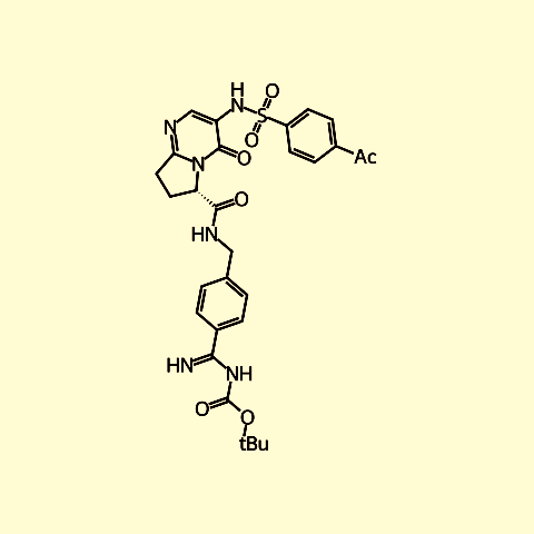 CC(=O)c1ccc(S(=O)(=O)Nc2cnc3n(c2=O)[C@H](C(=O)NCc2ccc(C(=N)NC(=O)OC(C)(C)C)cc2)CC3)cc1